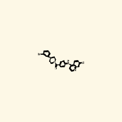 O=C(c1ccc(Nc2ccnc3cc(Cl)ccc23)cc1)N1CC=C(c2cccc(Br)c2)CC1